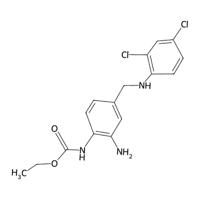 CCOC(=O)Nc1ccc(CNc2ccc(Cl)cc2Cl)cc1N